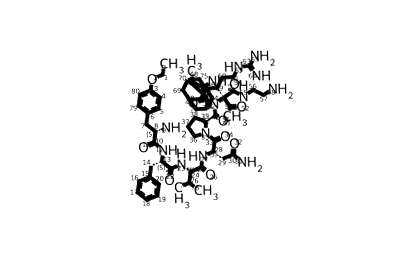 CCOc1ccc(C[C@H](N)C(=O)N[C@@H](Cc2ccccc2)C(=O)N[C@H](C(=O)N[C@@H](CC(N)=O)C(=O)N2CCC[C@H]2C(=O)N(C(=O)C(N)CC)[C@](C(C)=O)(C(=O)NCCN)C(CCNC(=N)N)C23CC4CC(CC(C4)C2)C3)C(C)C)cc1